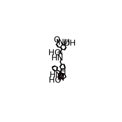 O=C(O)NC(c1ccccc1)(c1cccc(CCNC[C@H](O)c2ccc(O)c3[nH]c(=O)ccc23)c1)[C@H]1CN2CCC1CC2